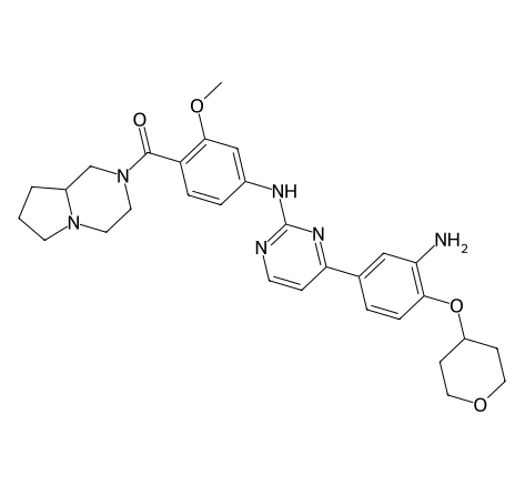 COc1cc(Nc2nccc(-c3ccc(OC4CCOCC4)c(N)c3)n2)ccc1C(=O)N1CCN2CCCC2C1